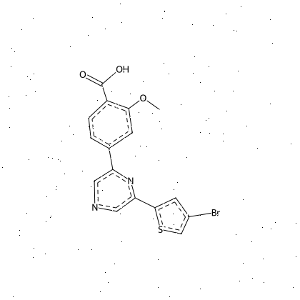 COc1cc(-c2cncc(-c3cc(Br)cs3)n2)ccc1C(=O)O